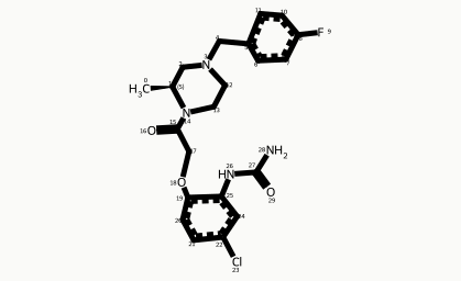 C[C@H]1CN(Cc2ccc(F)cc2)CCN1C(=O)COc1ccc(Cl)cc1NC(N)=O